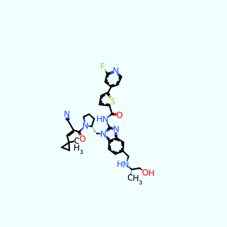 C[C@@H](CO)NCc1ccc2c(c1)nc(NC(=O)c1ccc(-c3ccnc(F)c3)s1)n2C[C@H]1CCCN1C(=O)/C(C#N)=C\C1(C)CC1